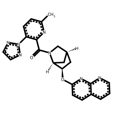 Cc1ccc(-n2nccn2)c(C(=O)N2C[C@H]3C[C@@H](Oc4ccc5cccnc5n4)[C@@H]2C3)n1